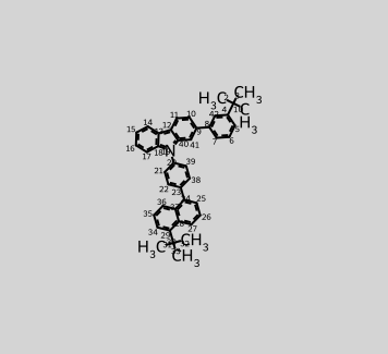 CC(C)(C)c1cccc(-c2ccc3c4ccccc4n(-c4ccc(-c5cccc6c(C(C)(C)C)cccc56)cc4)c3c2)c1